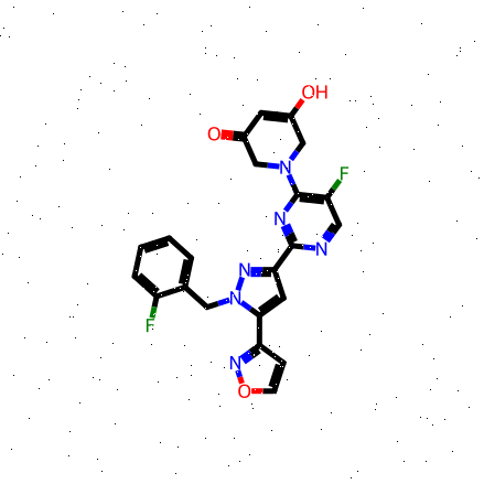 O=C1C=C(O)CN(c2nc(-c3cc(-c4ccon4)n(Cc4ccccc4F)n3)ncc2F)C1